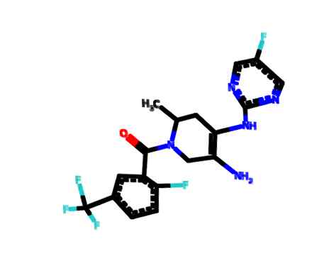 CC1CC(Nc2ncc(F)cn2)=C(N)CN1C(=O)c1cc(C(F)(F)F)ccc1F